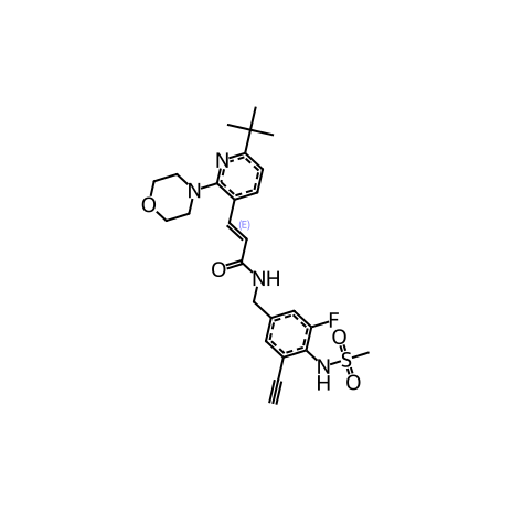 C#Cc1cc(CNC(=O)/C=C/c2ccc(C(C)(C)C)nc2N2CCOCC2)cc(F)c1NS(C)(=O)=O